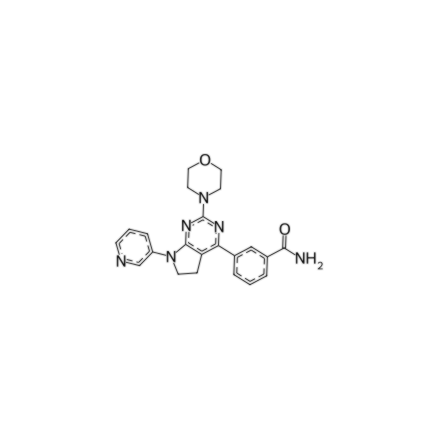 NC(=O)c1cccc(-c2nc(N3CCOCC3)nc3c2CCN3c2cccnc2)c1